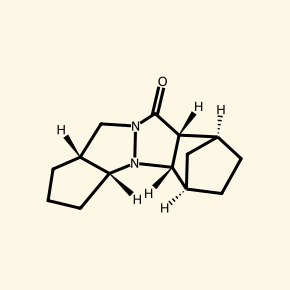 O=C1[C@@H]2[C@H]3CC[C@H](C3)[C@@H]2N2[C@@H]3CCC[C@@H]3CN12